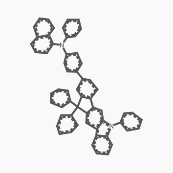 c1ccc(N(c2ccc(-c3ccc4c(c3)C(c3ccccc3)(c3ccccc3)c3cc5c6ccccc6n(-c6ccccc6)c5cc3-4)cc2)c2cccc3ccccc23)cc1